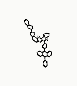 c1ccc(-c2c3ccccc3c(-c3ccc(-c4nc5ccccc5c5nc6c(ccc7ccc(-c8ccc9ccccc9c8)nc76)cc45)cc3)c3ccccc23)cc1